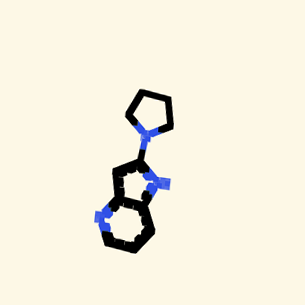 c1cnc2cc(N3CCCC3)[nH]c2c1